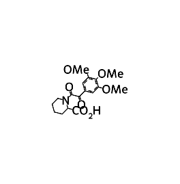 COc1cc(C(=O)C(=O)N2CCCCC2C(=O)O)cc(OC)c1OC